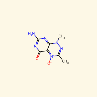 Cc1nn(C)c2nc(N)nc(=O)c-2[n+]1[O-]